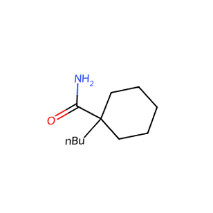 CCCCC1(C(N)=O)CCCCC1